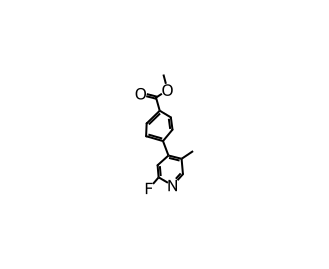 COC(=O)c1ccc(-c2cc(F)ncc2C)cc1